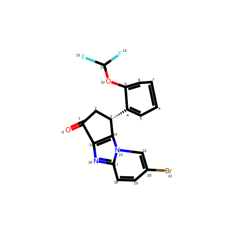 O=C1C[C@H](c2ccccc2OC(F)F)c2c1nc1ccc(Br)cn21